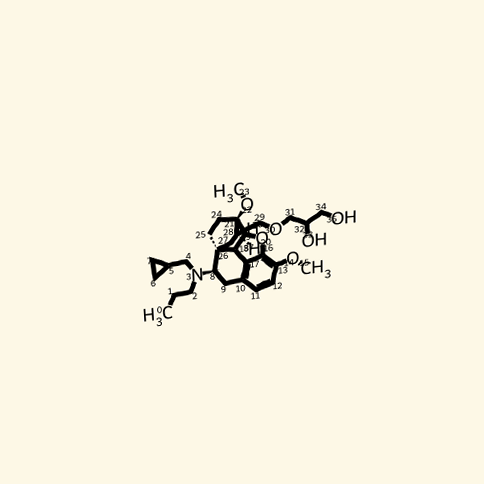 CCCN(CC1CC1)[C@@H]1Cc2ccc(OC)c3c2C2[C@@H](O3)[C@@]3(OC)CC[C@]21C[C@@H]3COCC(O)CO